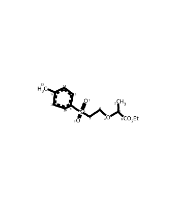 CCOC(=O)C(C)OCCS(=O)(=O)c1ccc(C)cc1